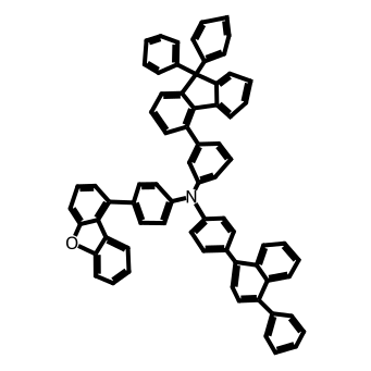 c1ccc(-c2ccc(-c3ccc(N(c4ccc(-c5cccc6oc7ccccc7c56)cc4)c4cccc(-c5cccc6c5-c5ccccc5C6(c5ccccc5)c5ccccc5)c4)cc3)c3ccccc23)cc1